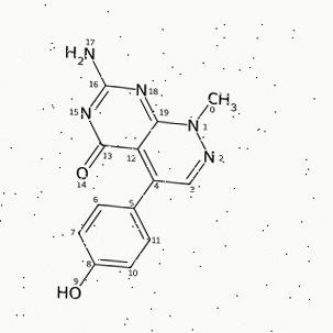 Cn1ncc(-c2ccc(O)cc2)c2c(=O)nc(N)nc1-2